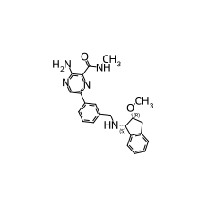 CNC(=O)c1nc(-c2cccc(CN[C@H]3c4ccccc4C[C@H]3OC)c2)cnc1N